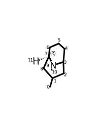 CC1CC2CCC[C@H](C1)N2C